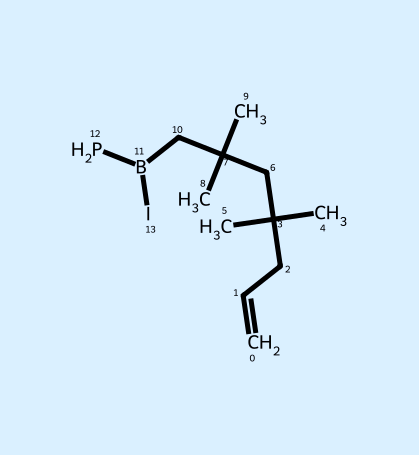 C=CCC(C)(C)CC(C)(C)CB(P)I